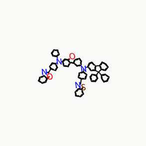 c1ccc(N(c2ccc(-c3nc4ccccc4o3)cc2)c2ccc3c(c2)oc2ccc(N(c4ccc(-c5nc6ccccc6s5)cc4)c4ccc5c(c4)C(c4ccccc4)(c4ccccc4)c4ccccc4-5)cc23)cc1